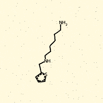 NCCCCCCNCc1cccs1